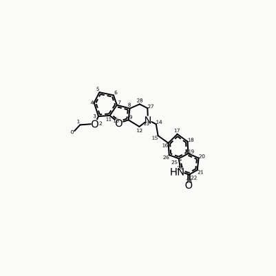 CCOc1cccc2c3c(oc12)CN(CCc1ccc2ccc(=O)[nH]c2c1)CC3